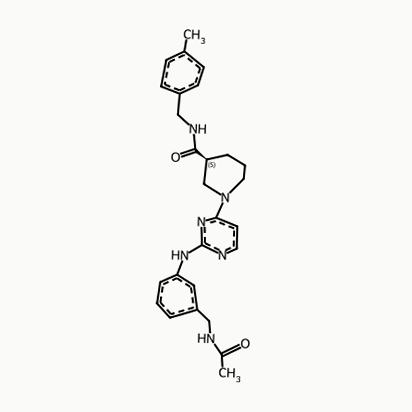 CC(=O)NCc1cccc(Nc2nccc(N3CCC[C@H](C(=O)NCc4ccc(C)cc4)C3)n2)c1